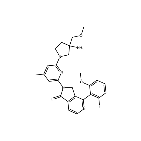 COCC1(N)CCN(c2cc(C)cc(N3Cc4c(ccnc4-c4c(F)cccc4OC)C3=O)n2)C1